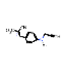 C#CCN(CC)c1ccc(/C=C(\C#N)C(=O)O)cc1